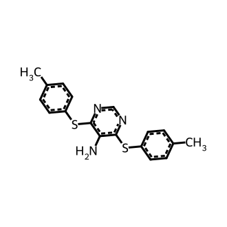 Cc1ccc(Sc2ncnc(Sc3ccc(C)cc3)c2N)cc1